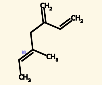 C=CC(=C)C/C(C)=C/C